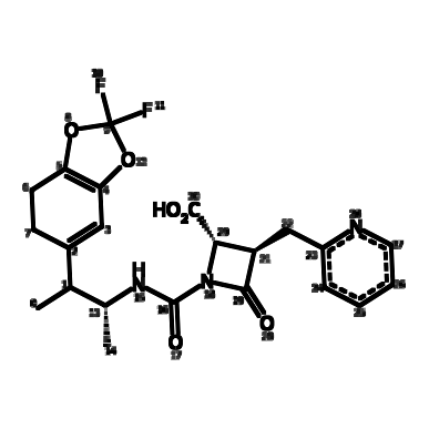 CC(C1=CC2=C(CC1)OC(F)(F)O2)[C@@H](C)NC(=O)N1C(=O)[C@H](Cc2ccccn2)[C@H]1C(=O)O